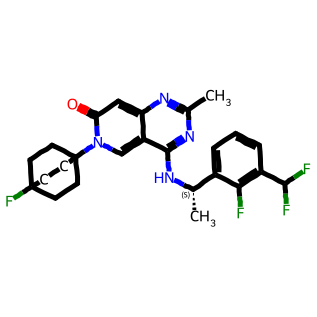 Cc1nc(N[C@@H](C)c2cccc(C(F)F)c2F)c2cn(C34CCC(F)(CC3)CC4)c(=O)cc2n1